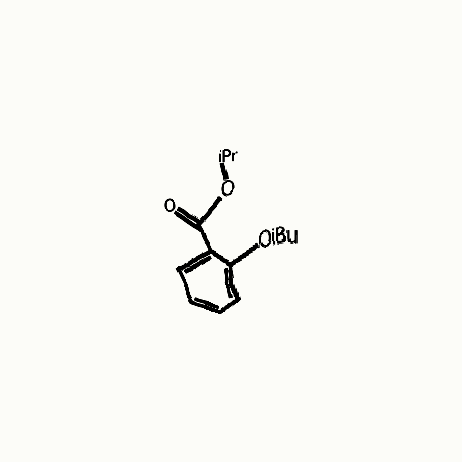 CC(C)COc1ccccc1C(=O)OC(C)C